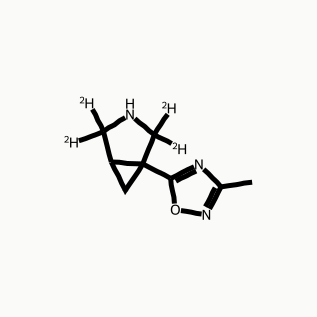 [2H]C1([2H])NC([2H])([2H])C2(c3nc(C)no3)CC12